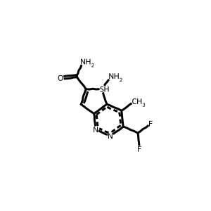 Cc1c(C(F)F)nnc2c1[SH](N)C(C(N)=O)=C2